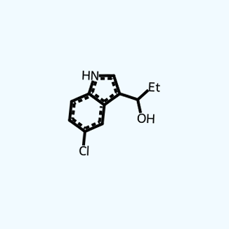 CCC(O)c1c[nH]c2ccc(Cl)cc12